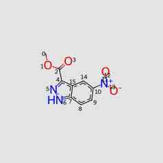 COC(=O)c1n[nH]c2ccc([N+](=O)[O-])cc12